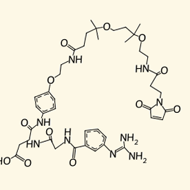 CC(C)(CCOC(C)(C)CCC(=O)NCCOc1ccc(NC(=O)C(CC(=O)O)NC(=O)CNC(=O)c2cccc(N=C(N)N)c2)cc1)OCCNC(=O)CCN1C(=O)C=CC1=O